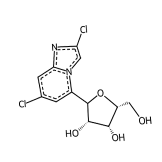 OC[C@H]1OC(c2cc(Cl)cc3nc(Cl)cn23)[C@@H](O)[C@H]1O